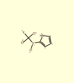 [O-][S+](c1ccc[nH]1)C(F)(Cl)Cl